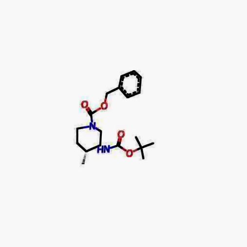 C[C@@H]1CCN(C(=O)OCc2ccccc2)C[C@@H]1NC(=O)OC(C)(C)C